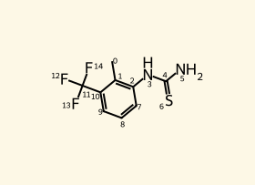 Cc1c(NC(N)=S)cccc1C(F)(F)F